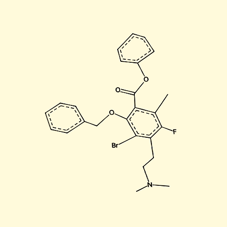 Cc1c(F)c(CCN(C)C)c(Br)c(OCc2ccccc2)c1C(=O)Oc1ccccc1